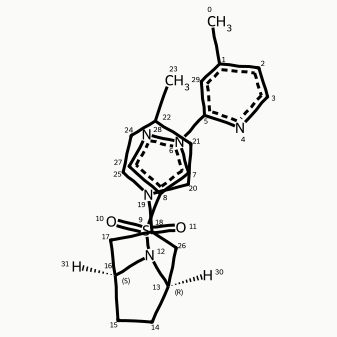 Cc1ccnc(-n2cc(S(=O)(=O)N3[C@@H]4CC[C@H]3CC(N3CCC(C)CC3)C4)cn2)c1